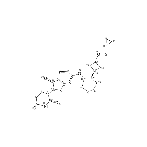 O=C1CCC(N2Cc3cc(O[C@H]4CCCC[C@@H]4N4CC(OCC5CC5)C4)ccc3C2=O)C(=O)N1